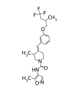 Cc1oncc1NC(=O)N1CC/C(=C\c2cccc(OCC(C)CC(F)(F)F)c2)C(C)C1